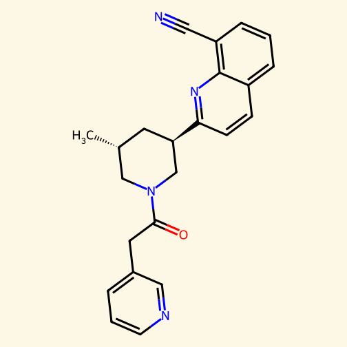 C[C@@H]1C[C@@H](c2ccc3cccc(C#N)c3n2)CN(C(=O)Cc2cccnc2)C1